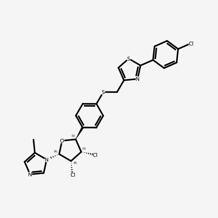 Cc1cncn1[C@@H]1O[C@@H](c2ccc(SCc3csc(-c4ccc(Cl)cc4)n3)cc2)[C@H](Cl)[C@@H]1Cl